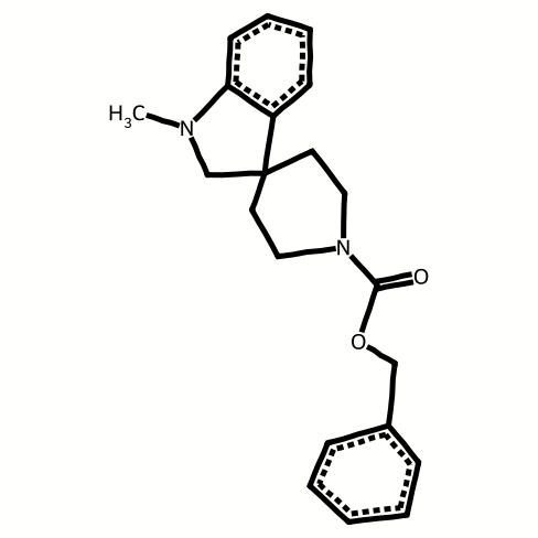 CN1CC2(CCN(C(=O)OCc3ccccc3)CC2)c2ccccc21